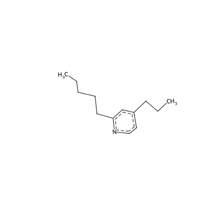 CCCCCc1cc(CCC)ccn1